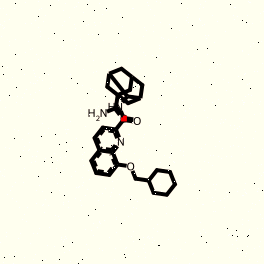 NC(=O)C12CC3CC(C1)C(NC(=O)c1ccc4cccc(OCC5CCCCC5)c4n1)C(C3)C2